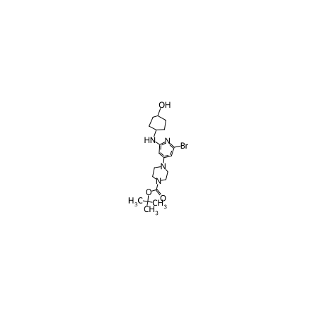 CC(C)(C)OC(=O)N1CCN(c2cc(Br)nc(NC3CCC(O)CC3)c2)CC1